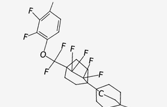 Cc1ccc(OC(F)(F)C23CCC(C45CCC(C)(CC4)CC5)(CC2)C(F)(F)C3(F)F)c(F)c1F